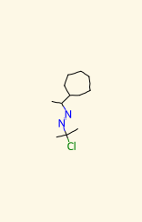 CC(N=NC(C)(C)Cl)C1CCCCCC1